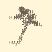 CC[C@H](NC(=O)[C@H](C)NC(=O)[C@H](CC(C)C)NC(=O)[C@H](CC(=O)OC(C)(C)C)NC(=O)CNC(=O)[C@H](CCCN)NC(C)=O)C(=O)N[C@@H](CC(C)C)C(=O)N[C@@H](CCCNC(N)=O)C(=O)NC(C)(C)C(=O)N[C@@H](CC(C)C)C(=O)NCCOCCOCCOCCOCCOCCC(=O)O